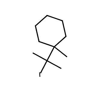 CC(C)(I)C1(C)CCCCC1